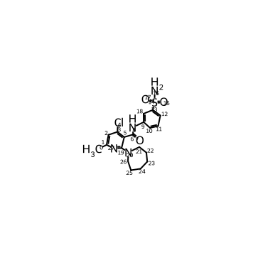 Cc1cc(Cl)c(C(=O)Nc2cccc(S(N)(=O)=O)c2)c(N2CCCCCC2)n1